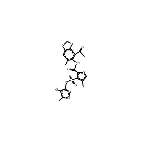 CC(=O)c1c(NC(=O)c2scc(C)c2S(=O)(=O)Nc2onc(C)c2Cl)c(C)cc2c1OCO2